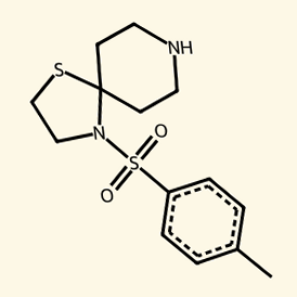 Cc1ccc(S(=O)(=O)N2CCSC23CCNCC3)cc1